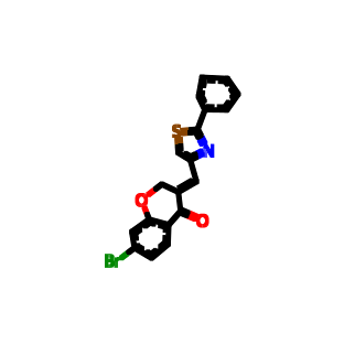 O=C1/C(=C/c2csc(-c3ccccc3)n2)COc2cc(Br)ccc21